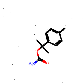 Cc1ccc(C(C)(C)OC(N)=O)cc1